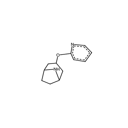 c1ccc(OC2CC3CCC(C2)N3)nc1